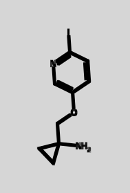 NC1(COc2ccc(I)nc2)CC1